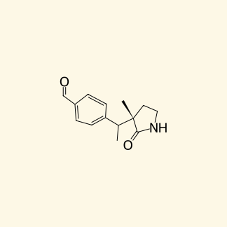 CC(c1ccc(C=O)cc1)[C@]1(C)CCNC1=O